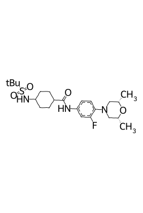 C[C@@H]1CN(c2ccc(NC(=O)C3CCC(NS(=O)(=O)C(C)(C)C)CC3)cc2F)C[C@H](C)O1